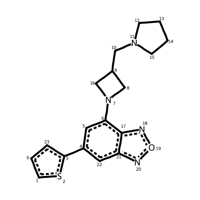 c1csc(-c2cc(N3CC(CN4CCCC4)C3)c3nonc3c2)c1